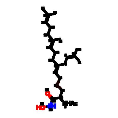 CC(=O)NC(CSC/C=C(\CC=C(C)C)CC/C=C(\C)CCC=C(C)C)C(=O)NO